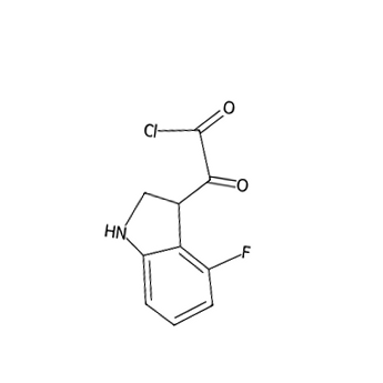 O=C(Cl)C(=O)C1CNc2cccc(F)c21